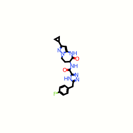 O=C(N[C@H]1CCn2nc(C3CC3)cc2NC1=O)c1nnc(Cc2ccc(F)cc2)[nH]1